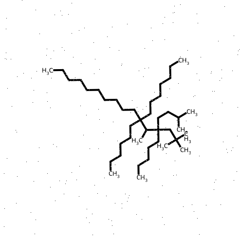 CCCCCCCCCCC(CCCCCC)(CCCCCCC)[C](C)C(CCCCC)(CCC(C)C)CC(C)(C)C